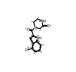 O=C1CN(C(=O)c2cc3c(Cl)cccc3[nH]2)CCN1